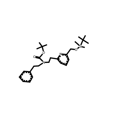 CC(C)(C)OC(=O)N(CCc1ccccc1)CCc1cccc(CO[Si](C)(C)C(C)(C)C)n1